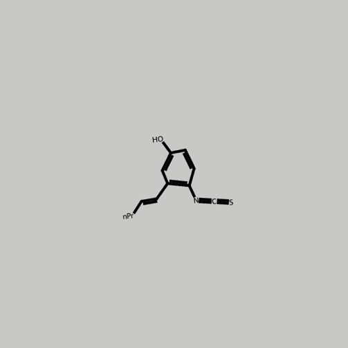 CCCC=Cc1cc(O)ccc1N=C=S